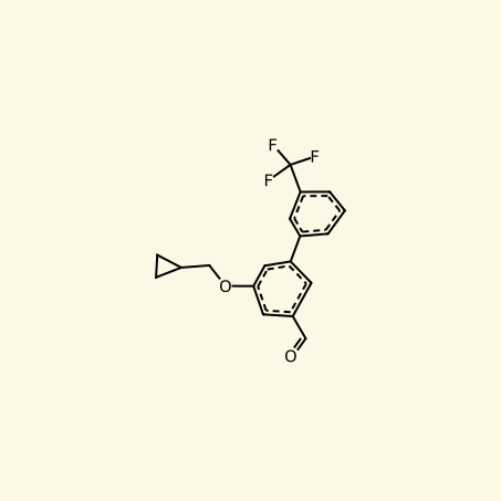 O=Cc1cc(OCC2CC2)cc(-c2cccc(C(F)(F)F)c2)c1